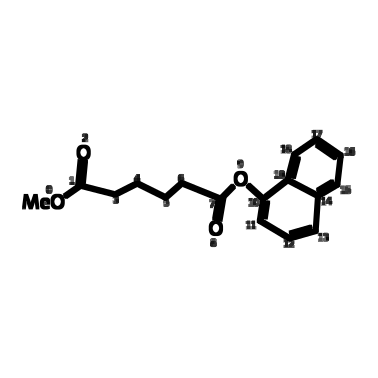 COC(=O)CCCCC(=O)Oc1cccc2ccccc12